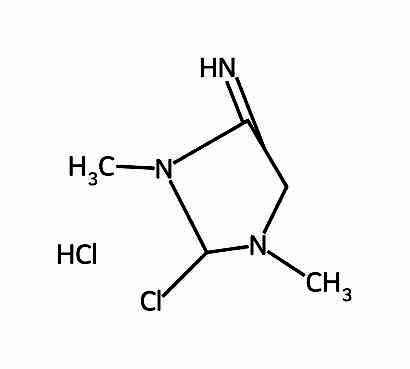 CN1CC(=N)N(C)C1Cl.Cl